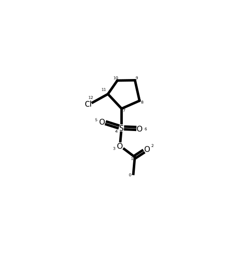 CC(=O)OS(=O)(=O)C1CCCC1Cl